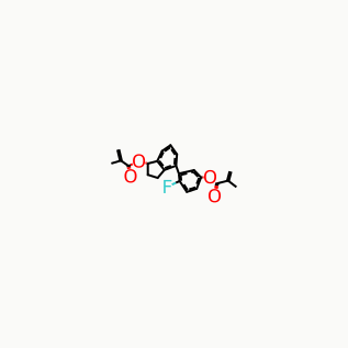 C=C(C)C(=O)Oc1ccc(F)c(-c2cccc3c2CCC3OC(=O)C(=C)C)c1